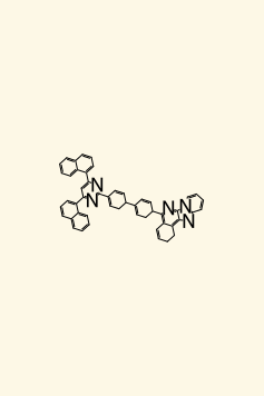 C1=Cc2c(C3C=CC(C4C=CC(c5nc(-c6cccc7ccccc67)cc(-c6cccc7ccccc67)n5)=CC4)=CC3)nc3c(nc4ccccn43)c2CC1